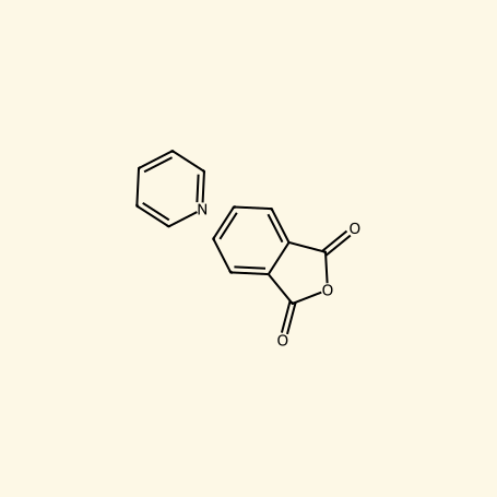 O=C1OC(=O)c2ccccc21.c1ccncc1